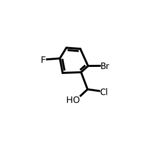 OC(Cl)c1cc(F)ccc1Br